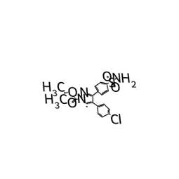 CC(C)OC(=O)n1[c]c(-c2ccc(Cl)cc2)c(-c2ccc(S(N)(=O)=O)cc2)n1